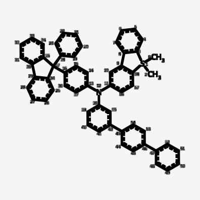 CS1(C)c2ccccc2-c2cc(N(c3ccc(C4(c5ccccc5)c5ccccc5-c5ccccc54)cc3)c3cccc(-c4ccc(-c5ccccc5)cc4)c3)ccc21